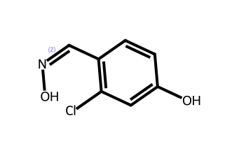 O/N=C\c1ccc(O)cc1Cl